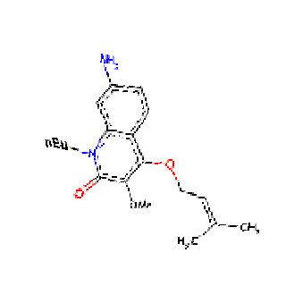 CCCCn1c(=O)c(OC)c(OCC=C(C)C)c2ccc(N)cc21